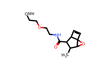 COCCOCCNC(=O)C1C(C)C2OC23C=CC13